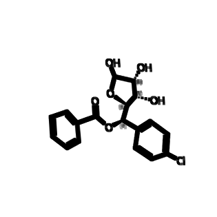 O=C(O[C@H](c1ccc(Cl)cc1)[C@H]1OC(O)[C@H](O)[C@@H]1O)c1ccccc1